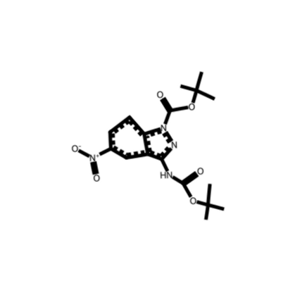 CC(C)(C)OC(=O)Nc1nn(C(=O)OC(C)(C)C)c2ccc([N+](=O)[O-])cc12